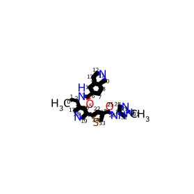 CCC(NC(=O)c1ccc2cnccc2c1)c1cncc(-c2cc(C(=O)Nc3cnn(C)c3)cs2)c1